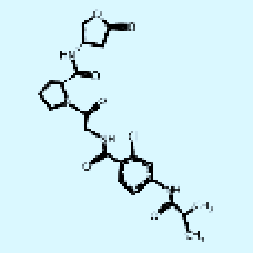 CC(C)C(=O)Nc1ccc(C(=O)NCC(=O)N2CCC[C@H]2C(=O)N[C@@H]2COC(=O)C2)c(Cl)c1